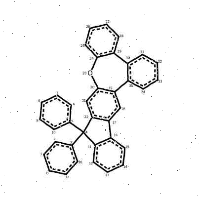 c1ccc(C2(c3ccccc3)c3ccccc3-c3cc4c(cc32)Oc2ccccc2-c2ccccc2-4)cc1